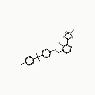 Cc1ccc(C(C)(C)c2ccc(OCc3ccnc(-c4noc(C)n4)c3F)cc2)cc1